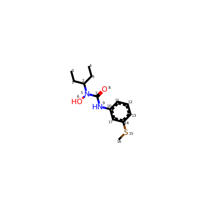 CCC(CC)N(O)C(=O)Nc1cccc(SC)c1